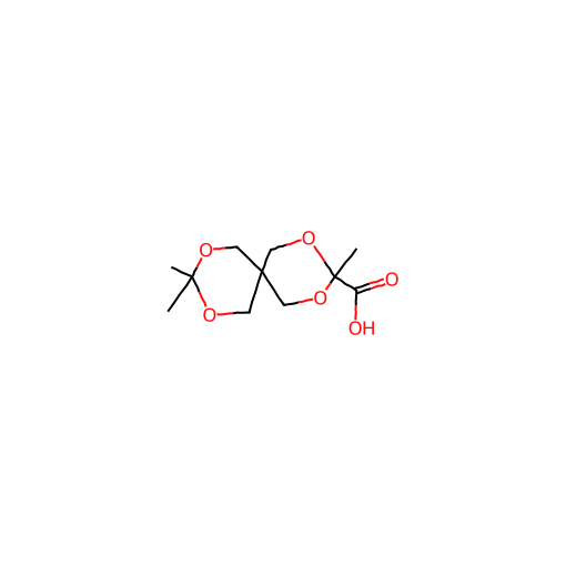 CC1(C)OCC2(CO1)COC(C)(C(=O)O)OC2